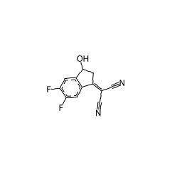 N#CC(C#N)=C1CC(O)c2cc(F)c(F)cc21